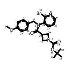 COc1ccc(CN(C(=O)C2CN(C(=O)OC(C)(C)C)C2)c2cccnc2Br)cc1